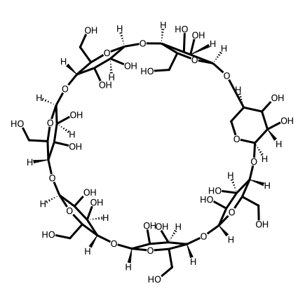 OCC1O[C@@H]2O[C@@H]3CO[C@H](O[C@@H]4C(CO)O[C@H](O[C@@H]5C(CO)O[C@H](O[C@@H]6C(CO)O[C@@H](O[C@@H]7C(CO)O[C@@H](O[C@@H]8C(CO)O[C@@H](O[C@H]1C(O)[C@@H]2O)[C@@H](O)C8O)[C@@H](O)C7O)C(O)[C@H]6O)C(O)[C@H]5O)C(O)[C@H]4O)[C@@H](O)C3O